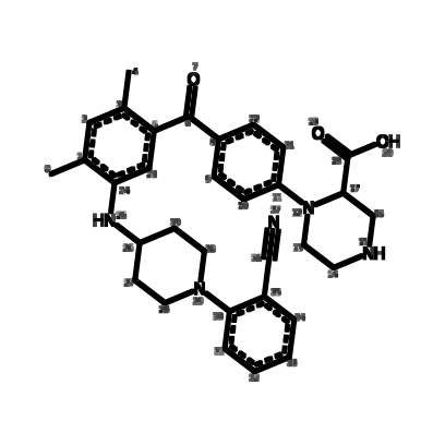 Cc1cc(C)c(C(=O)c2ccc(N3CCNCC3C(=O)O)cc2)cc1NC1CCN(c2ccccc2C#N)CC1